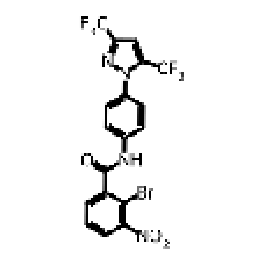 O=C(Nc1ccc(-n2nc(C(F)(F)F)cc2C(F)(F)F)cc1)c1cccc([N+](=O)[O-])c1Br